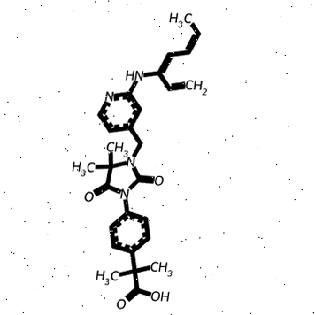 C=C/C(=C\C=C/C)Nc1cc(CN2C(=O)N(c3ccc(C(C)(C)C(=O)O)cc3)C(=O)C2(C)C)ccn1